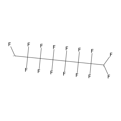 F[CH]C(F)(F)C(F)(F)C(F)(F)C(F)(F)C(F)(F)C(F)(F)[C](F)F